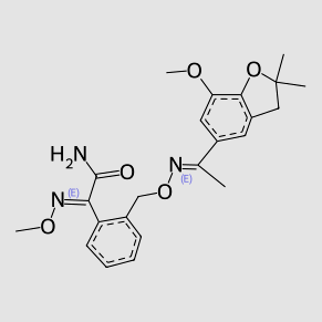 CO/N=C(/C(N)=O)c1ccccc1CO/N=C(\C)c1cc2c(c(OC)c1)OC(C)(C)C2